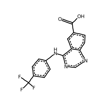 O=C(O)c1ccc2ncnc(Nc3ccc(C(F)(F)F)cc3)c2c1